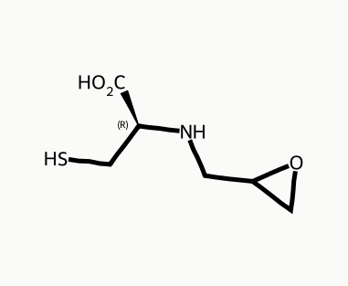 O=C(O)[C@H](CS)NCC1CO1